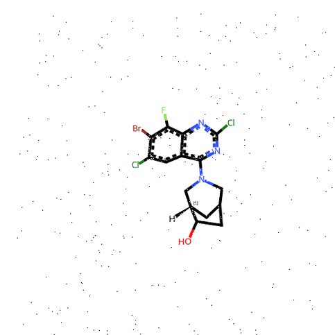 OC1CC2C[C@H]1CN(c1nc(Cl)nc3c(F)c(Br)c(Cl)cc13)C2